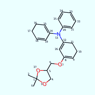 CC1(C)OCC(COC2=CCCC(N(C3=CCCC=C3)c3ccccc3)=C2)O1